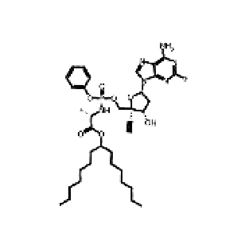 C#C[C@]1(CO[P@](=O)(N[C@@H](C)C(=O)OC(CCCCCCC)CCCCCCC)Oc2ccccc2)O[C@@H](n2cnc3c(N)nc(F)nc32)C[C@@H]1O